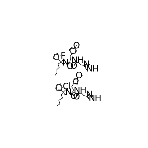 CCCCCC1(c2ccccc2Cl)CN(C(=O)[C@@H](Cc2ccc(OC)cc2)NC(=O)CCc2c[nH]cn2)C1.CCCCCC1(c2ccccc2F)CN(C(=O)[C@@H](Cc2ccc(OC)cc2)NC(=O)CCc2c[nH]cn2)C1